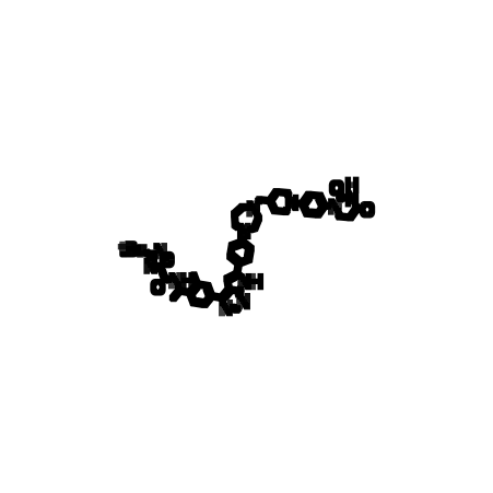 Cc1cc(-c2ncnc3[nH]c(-c4ccc(N5CCCN(CC6CCN(c7ccc(N8CCC(=O)NC8=O)cc7)CC6)CC5)cc4)cc23)ccc1C(C)NC(=O)c1nc(C(C)(C)C)no1